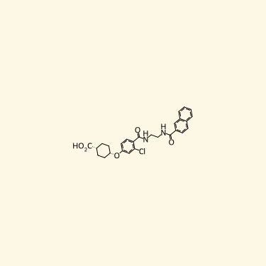 O=C(NCCNC(=O)c1ccc(O[C@H]2CC[C@@H](C(=O)O)CC2)cc1Cl)c1ccc2ccccc2c1